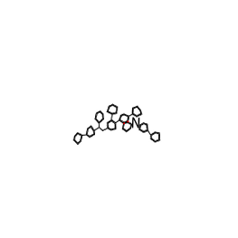 c1ccc(-c2ccc(C(Cc3ccc(-c4ccc(-c5ccccc5N(c5ccccc5)c5ccc(-c6ccccc6)cc5)cc4)c(-c4ccccc4)c3)c3ccccc3)cc2)cc1